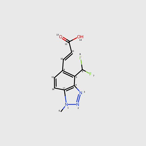 Cn1nnc2c(C(F)F)c(C=CC(=O)O)ccc21